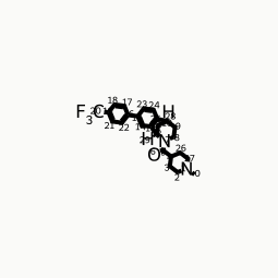 CN1CCC(C(=O)N2CC[C@@H]3C[C@H]2c2cc(-c4ccc(C(F)(F)F)cc4)ccc23)CC1